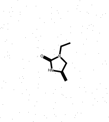 C=C1CN(CC)C(=O)N1